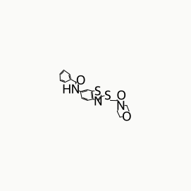 O=C(Nc1ccc2nc(SCC(=O)N3CCOCC3)sc2c1)c1ccccc1